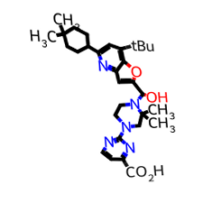 CC1(C)CCC(c2cc(C(C)(C)C)c3oc(C(O)N4CCN(c5nccc(C(=O)O)n5)CC4(C)C)cc3n2)CC1